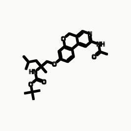 CC(=O)Nc1cc2c(cn1)COc1cc(OCC(C)(CC(C)C)NC(=O)OC(C)(C)C)ccc1-2